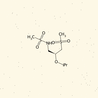 CC(C)O[C@@H](CNS(C)(=O)=O)CS(C)(=O)=O